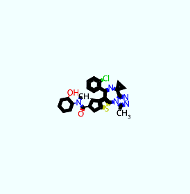 Cc1nnc2n1-c1sc3c(c1C(c1ccccc1Cl)=NC21CC1)C[C@H](C(=O)N(C)[C@@H]1CCCC[C@@H]1O)C3